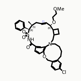 COCCO[C@H]1/C=C/C[C@H](C)[C@H](c2ccccc2)S(=O)(=O)NC(=O)c2ccc3c(c2)N(CCCCc2cc(Cl)ccc2CO3)CC2CCC21